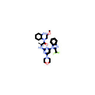 COCCN(C(=O)[C@H](C)Nc1nc(N2CCOCC2)cc(-n2c(C(F)F)nc3ccccc32)n1)C1CCCCC1N